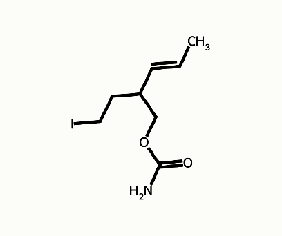 CC=CC(CCI)COC(N)=O